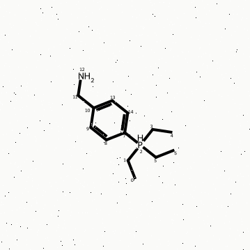 CC[PH](CC)(CC)c1ccc(CN)cc1